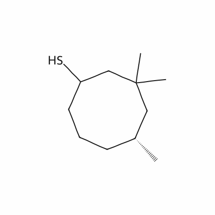 C[C@@H]1CCCC(S)CC(C)(C)C1